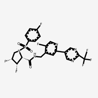 O=C(NCc1cc(-c2cnc(C(F)(F)F)nc2)ncc1F)[C@@H]1[C@H](F)[C@H](F)CN1S(=O)(=O)c1ccc(F)cc1